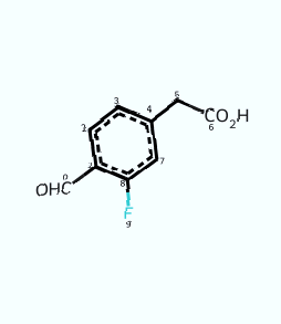 O=Cc1ccc(CC(=O)O)cc1F